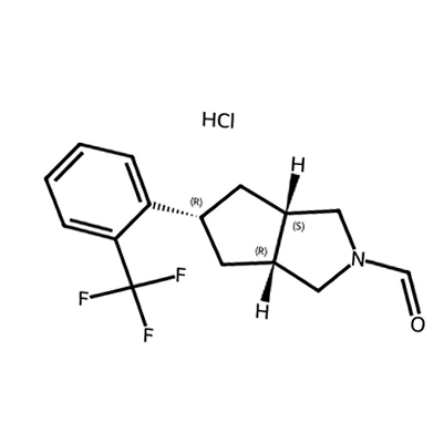 Cl.O=CN1C[C@H]2C[C@@H](c3ccccc3C(F)(F)F)C[C@H]2C1